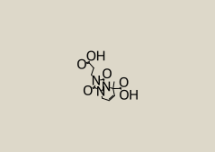 CC1(C(=O)O)C=CCn2c(=O)n(CCC(=O)O)c(=O)n21